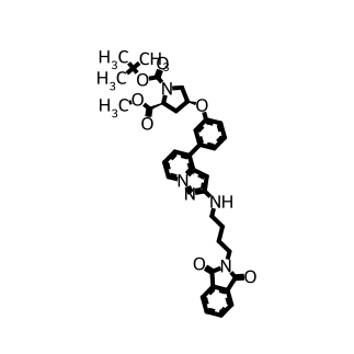 COC(=O)[C@@H]1C[C@H](Oc2cccc(-c3cccn4nc(NCCCCN5C(=O)c6ccccc6C5=O)cc34)c2)CN1C(=O)OC(C)(C)C